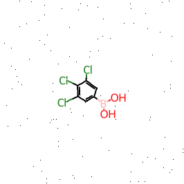 OB(O)c1cc(Cl)c(Cl)c(Cl)c1